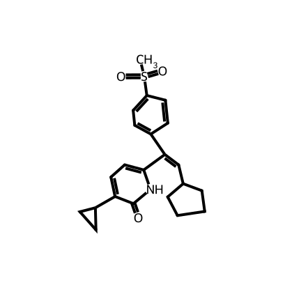 CS(=O)(=O)c1ccc(/C(=C/C2CCCC2)c2ccc(C3CC3)c(=O)[nH]2)cc1